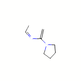 C=C(/N=C\CC)N1CCCC1